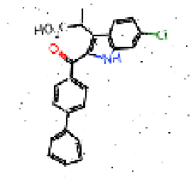 CC(C(=O)O)c1c(C(=O)c2ccc(-c3ccccc3)cc2)[nH]c2cc(Cl)ccc12